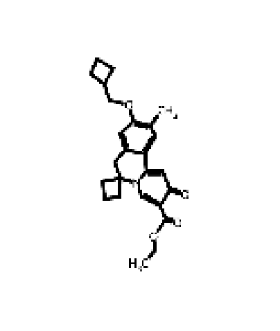 CCOC(=O)c1cn2c(cc1=O)-c1cc(C)c(OCC3CCC3)cc1CC21CCC1